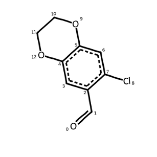 O=Cc1cc2c(cc1Cl)OCCO2